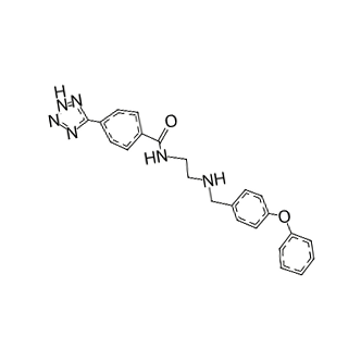 O=C(NCCNCc1ccc(Oc2ccccc2)cc1)c1ccc(-c2nn[nH]n2)cc1